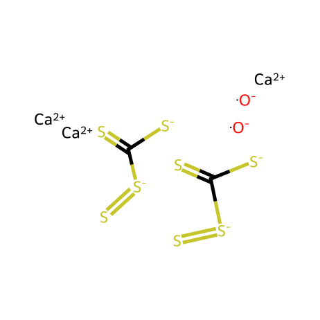 S=[S-]C(=S)[S-].S=[S-]C(=S)[S-].[Ca+2].[Ca+2].[Ca+2].[O-].[O-]